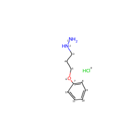 Cl.NNCCCOc1ccccc1